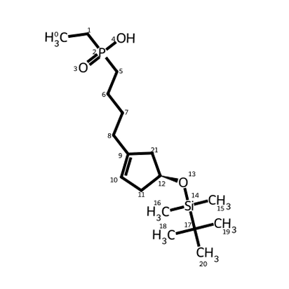 CCP(=O)(O)CCCCC1=CC[C@H](O[Si](C)(C)C(C)(C)C)C1